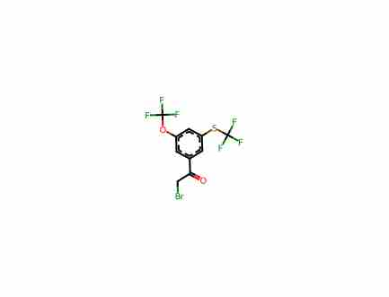 O=C(CBr)c1cc(OC(F)(F)F)cc(SC(F)(F)F)c1